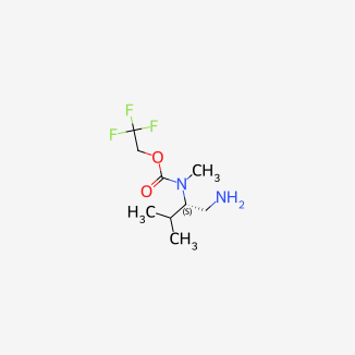 CC(C)[C@@H](CN)N(C)C(=O)OCC(F)(F)F